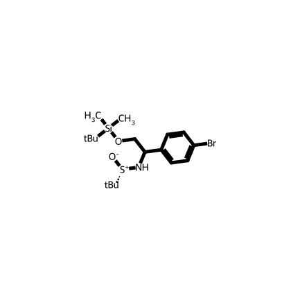 CC(C)(C)[S@+]([O-])NC(CO[Si](C)(C)C(C)(C)C)c1ccc(Br)cc1